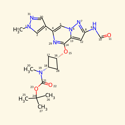 Cn1cc(-c2cn3nc(NC=O)cc3c(O[C@H]3C[C@@H](N(C)C(=O)OC(C)(C)C)C3)n2)cn1